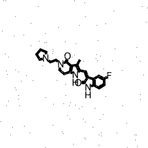 Cc1c(/C=C2\C(=O)Nc3ccc(F)cc32)[nH]c2c1C(=O)N(CCN1CCCC1)CC2